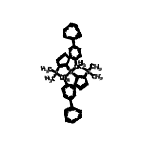 C[Si](C)(C)C1=[C]([Zr]([O]c2ccc(-c3ccccc3)cc2)([O]c2ccc(-c3ccccc3)cc2)[C]2=C([Si](C)(C)C)C=CC2)CC=C1